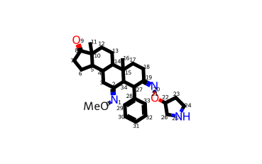 CON=C1CC2C3CCC(=O)C3(C)CCC2C2(C)CCC(=NOC3CCNC3)C(c3ccccc3)C12